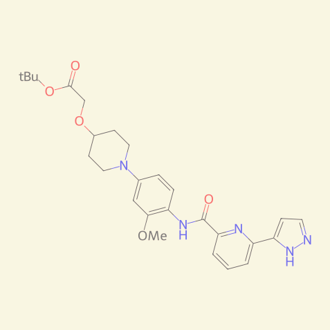 COc1cc(N2CCC(OCC(=O)OC(C)(C)C)CC2)ccc1NC(=O)c1cccc(-c2ccn[nH]2)n1